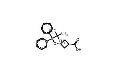 CC(C)(C)[Si](O[C@H]1C[C@H](C(=O)O)C1)(c1ccccc1)c1ccccc1